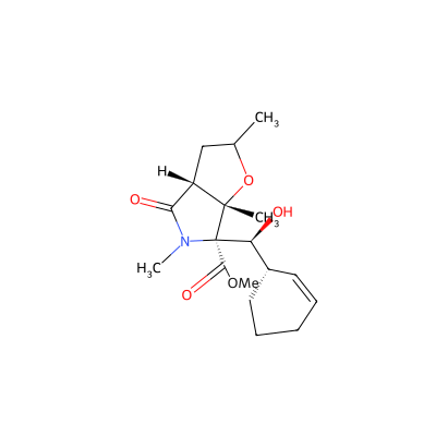 COC(=O)[C@]1([C@@H](O)[C@@H]2C=CCCC2)N(C)C(=O)[C@@H]2CC(C)O[C@@]21C